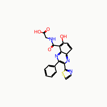 O=C(O)CNC(=O)c1c(O)ccc2nc(-c3nccs3)c(-c3ccccc3)nc12